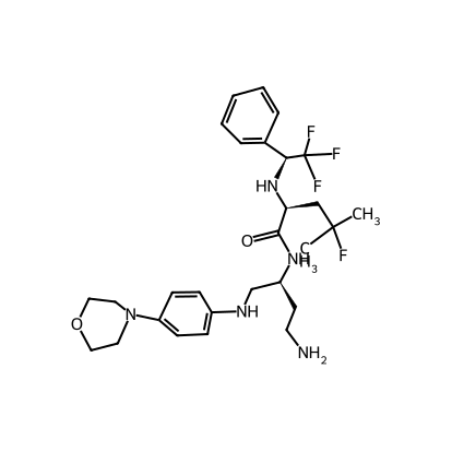 CC(C)(F)C[C@H](N[C@@H](c1ccccc1)C(F)(F)F)C(=O)N[C@@H](CCN)CNc1ccc(N2CCOCC2)cc1